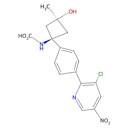 C[C@]1(O)C[C@](NC(=O)O)(c2ccc(-c3ncc([N+](=O)[O-])cc3Cl)cc2)C1